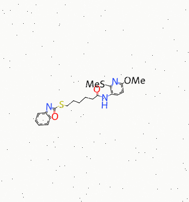 COc1ccc(NC(=O)CCCCCSc2nc3ccccc3o2)c(SC)n1